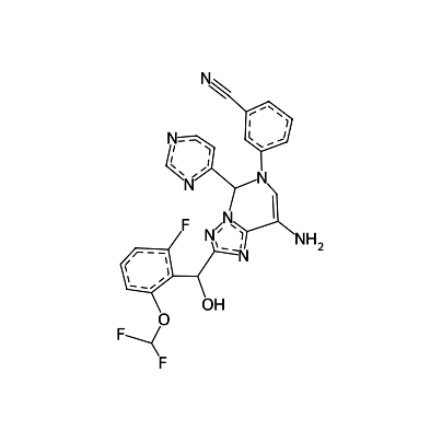 N#Cc1cccc(N2C=C(N)c3nc(C(O)c4c(F)cccc4OC(F)F)nn3C2c2ccncn2)c1